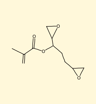 C=C(C)C(=O)OC(CCC1CO1)C1CO1